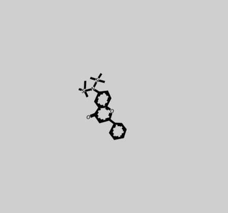 C[Si](C)(C)N(c1ccc2oc(-c3ccccc3)cc(=O)c2c1)[Si](C)(C)C